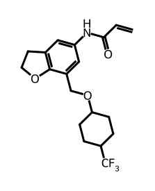 C=CC(=O)Nc1cc2c(c(COC3CCC(C(F)(F)F)CC3)c1)OCC2